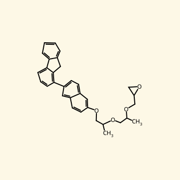 CC(COc1ccc2cc(-c3cccc4c3Cc3ccccc3-4)ccc2c1)OCC(C)OCC1CO1